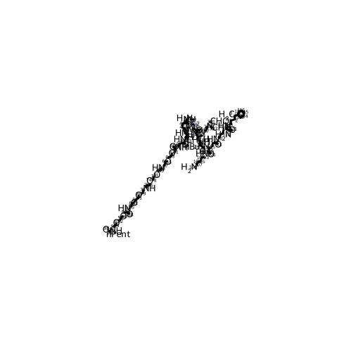 C=C(CCCN[C@@H](CCCCNC(=O)CC[C@H](NC(=O)[C@H](CCCC)NC[C@H](CNCCN(CC=O)CC=O)NC(=O)[C@H](C/C=C/N)NC[C@H](CCC(N)=O)NC[C@H](C)NC(=O)CNC(=O)COCCOCCNCCOCCOCCNCCOCCOCCNC(=O)COCCOCCNC(=O)CCCCC)C(=O)NCCCCCN)C(N)=O)c1ccccc1